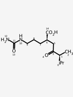 CC(C)[C@H](C)C(=O)C[C@@H](CCCNC(N)=O)C(=O)O